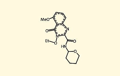 CCOn1c(C(=O)NC2CCCCO2)nc2cccc(OC)c2c1=O